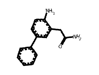 NC(=O)Cc1cc(-c2ccccc2)ccc1N